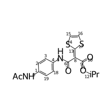 CC(=O)Nc1ccc(NC(=O)C(C(=O)OC(C)C)=C2SC=CS2)cc1